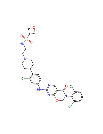 O=C1c2cnc(Nc3ccc(C4CCN(CCNS(=O)(=O)C5COC5)CC4)c(Cl)c3)nc2OCN1c1c(Cl)cccc1Cl